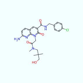 CN(CC(C)(C)CO)C(=O)Cn1c(=O)c(C(=O)NCc2ccc(Cl)cc2)cc2ccc(N)nc21